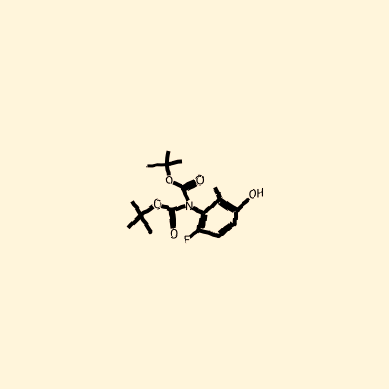 Cc1c(O)ccc(F)c1N(C(=O)OC(C)(C)C)C(=O)OC(C)(C)C